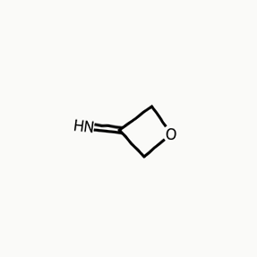 N=C1COC1